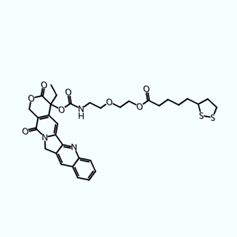 CCC1(OC(=O)NCCOCCOC(=O)CCCCC2CCSS2)C(=O)OCc2c1cc1n(c2=O)Cc2cc3ccccc3nc2-1